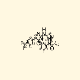 C=CC(=O)Nc1cccc(Oc2nc(Nc3cnn(C)c3)ncc2-c2ccc(C(F)F)cc2)c1